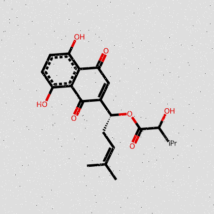 CC(C)=CC[C@@H](OC(=O)C(O)C(C)C)C1=CC(=O)c2c(O)ccc(O)c2C1=O